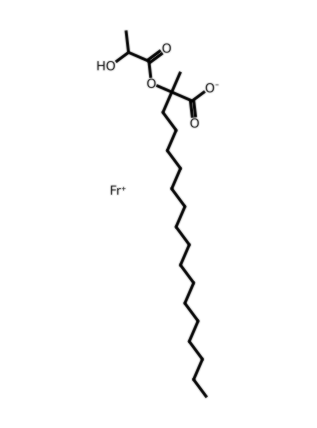 CCCCCCCCCCCCCCCCC(C)(OC(=O)C(C)O)C(=O)[O-].[Fr+]